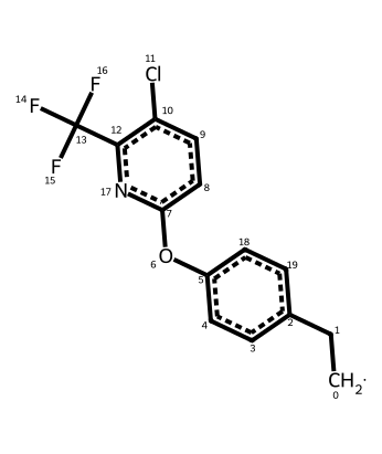 [CH2]Cc1ccc(Oc2ccc(Cl)c(C(F)(F)F)n2)cc1